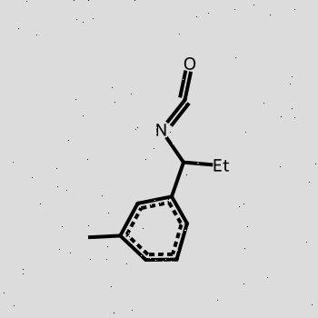 CCC(N=C=O)c1cccc(C)c1